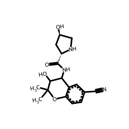 CC1(C)Oc2ccc(C#N)cc2C(NC(=O)[C@@H]2C[C@@H](O)CN2)C1O